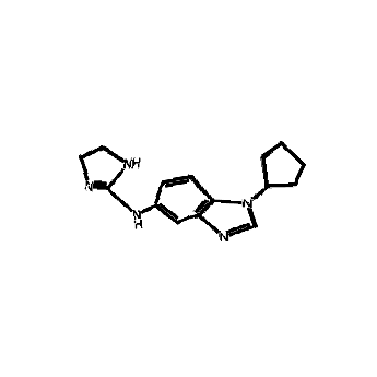 c1cc2c(cc1NC1=NCCN1)ncn2C1CCCC1